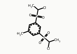 [CH2]c1cc(S(=O)(=O)C(C)Cl)cc(S(=O)(=O)C(C)Cl)c1